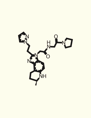 C[C@H]1CCc2c(ccc3c2nc(CCn2cccn2)n3CC(=O)NCC(=O)N2CCCC2)N1